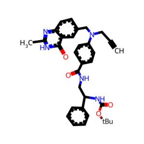 C#CCN(Cc1ccc2nc(C)[nH]c(=O)c2c1)c1ccc(C(=O)NCC(NC(=O)OC(C)(C)C)c2ccccc2)cc1